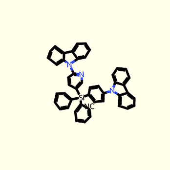 N#Cc1cc(-n2c3ccccc3c3ccccc32)ccc1[Si](c1ccccc1)(c1ccccc1)c1ccc(-n2c3ccccc3c3ccccc32)nc1